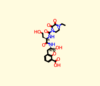 CCN1CCN(C(=O)N[C@H](CCO)C(=O)N[C@H]2Cc3cccc(C(=O)O)c3OB2O)C(=O)C1=O